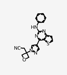 N#CCC1(n2cc(-c3nc(Nc4ccccc4)nc4ccsc34)cn2)COC1